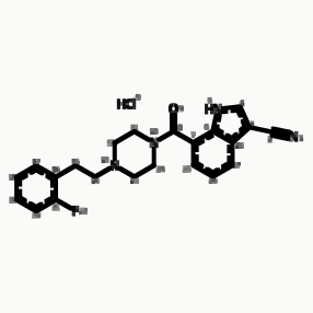 Cl.N#Cc1c[nH]c2c(C(=O)N3CCN(CCc4ccccc4F)CC3)cccc12